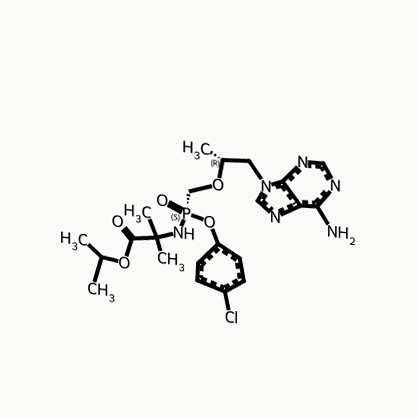 CC(C)OC(=O)C(C)(C)N[P@](=O)(CO[C@H](C)Cn1cnc2c(N)ncnc21)Oc1ccc(Cl)cc1